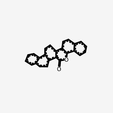 O=c1oc2c3ccccc3ccc2c2ccc3c4ccccc4ccc3c12